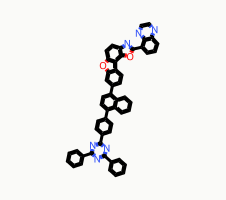 c1ccc(-c2nc(-c3ccccc3)nc(-c3ccc(-c4ccc(-c5ccc6c(c5)oc5ccc7nc(-c8cccc9nccnc89)oc7c56)c5ccccc45)cc3)n2)cc1